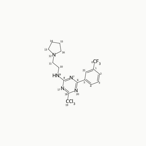 FC(F)(F)c1cccc(-c2nc(NCCN3CCCC3)nc(C(Cl)(Cl)Cl)n2)c1